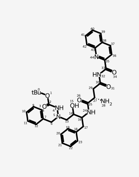 CC(C)(C)OC(=O)NN(Cc1ccccc1)CC(O)C(Cc1ccccc1)NC(=O)[C@@H](N)CC(=O)NC(=O)c1ccc2ccccc2n1